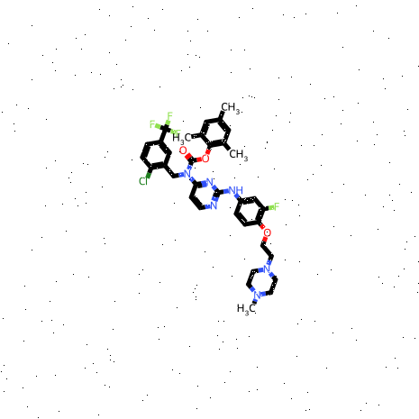 Cc1cc(C)c(OC(=O)N(Cc2cc(C(F)(F)F)ccc2Cl)c2ccnc(Nc3ccc(OCCN4CCN(C)CC4)c(F)c3)n2)c(C)c1